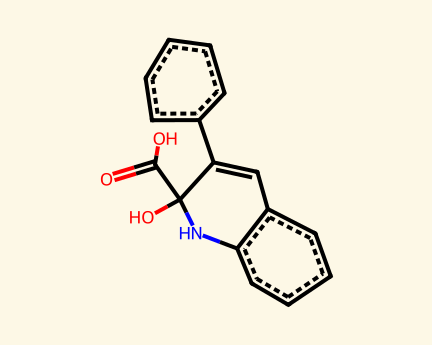 O=C(O)C1(O)Nc2ccccc2C=C1c1ccccc1